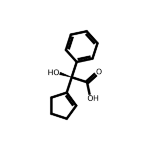 O=C(O)[C@](O)(C1=CCCC1)c1ccccc1